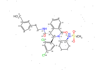 CS(=O)(=O)N[C@H]1CCCC[C@@H]1N1C(=O)c2ccccc2[C@@H](C(=O)NCCc2cccc(C(=O)O)c2)[C@@H]1c1ccc(Cl)cc1Cl